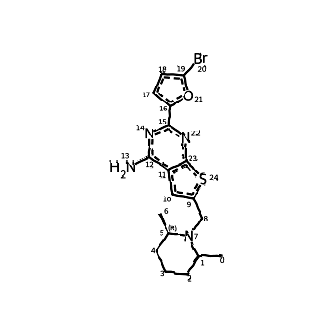 CC1CCC[C@@H](C)N1Cc1cc2c(N)nc(-c3ccc(Br)o3)nc2s1